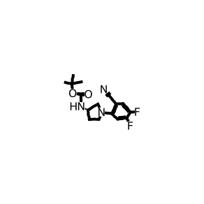 CC(C)(C)OC(=O)N[C@H]1CCN(c2cc(F)c(F)cc2C#N)C1